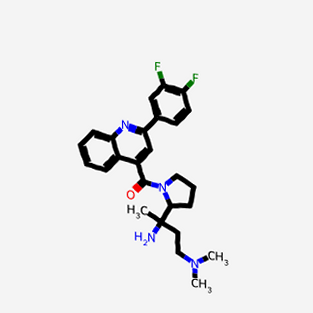 CN(C)CCC(C)(N)C1CCCN1C(=O)c1cc(-c2ccc(F)c(F)c2)nc2ccccc12